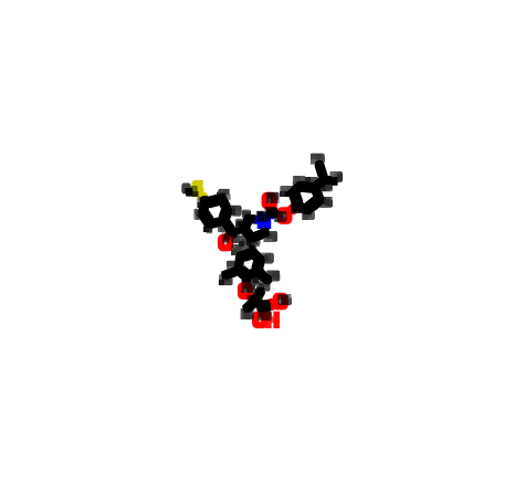 CSc1ccc(C(=O)[C@H]2CN(C(=O)Oc3ccc(C(C)C)cc3)C[C@@H]2c2cc(C)c(OC(C)(C)C(=O)O)c(C)c2)cc1